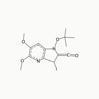 COc1cc2c(nc1OC)C(I)C(=C=O)N2OC(C)(C)C